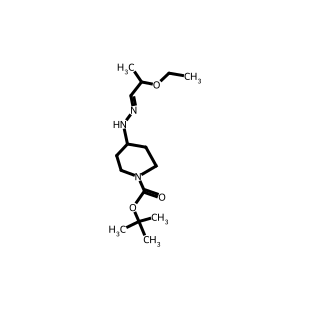 CCOC(C)/C=N/NC1CCN(C(=O)OC(C)(C)C)CC1